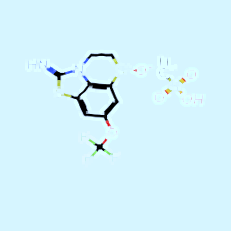 CS(=O)(=O)O.N=c1sc2cc(OC(F)(F)F)cc3c2n1CC[S@@+]3[O-]